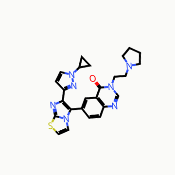 O=c1c2cc(-c3c(-c4ccn(C5CC5)n4)nc4sccn34)ccc2ncn1CCN1CCCC1